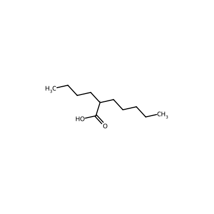 CCCCC[C](CCCC)C(=O)O